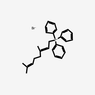 CC(C)=CCC/C(C)=C/C[P+](c1ccccc1)(c1ccccc1)c1ccccc1.[Br-]